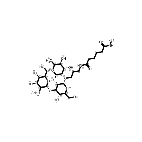 CCNC(=O)CCCCC(=O)NCCCO[C@@H]1OC(CO)[C@H](O)C(O[C@H]2OC(CO)[C@H](O)[C@H](O)C2NC(C)=O)[C@@H]1O[C@H]1C[C@@H](O)[C@H](O)C(C)O1